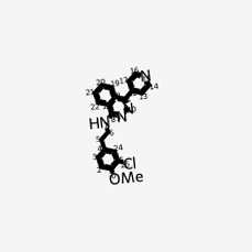 COc1ccc(CCNc2nnc(-c3ccncc3)c3ccccc23)cc1Cl